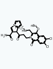 CCCCOc1c(CNC(=O)O)n(CCC(=O)C2C(C(N)=O)=Cn3cccc32)c(=O)c2cc(Cl)c(Cl)cc12